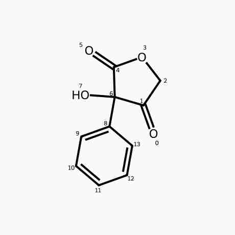 O=C1COC(=O)C1(O)c1ccccc1